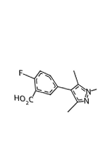 Cc1nn(C)c(C)c1-c1ccc(F)c(C(=O)O)c1